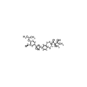 CC(C)Oc1ccc(-c2nc(-c3ccc4c(c3)CCN(C(=O)[C@H](N)[C@@H](C)O)CC4)no2)cc1C#N